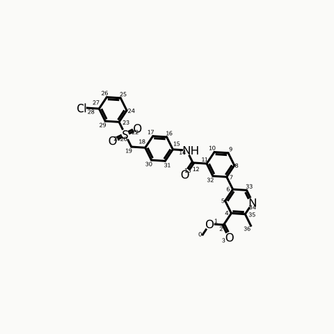 COC(=O)c1cc(-c2cccc(C(=O)Nc3ccc(CS(=O)(=O)c4cccc(Cl)c4)cc3)c2)cnc1C